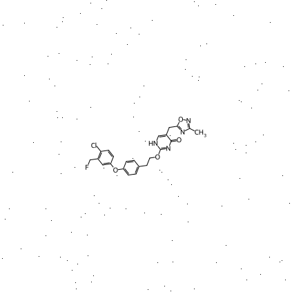 Cc1noc(Cc2c[nH]c(OCCc3ccc(Oc4ccc(Cl)c(CF)c4)cc3)nc2=O)n1